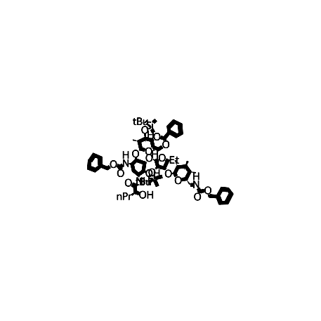 CCC[C@H](O)C(=O)N[C@@H]1C[C@H](NC(=O)OCc2ccccc2)[C@@H](O[C@H]2O[C@@H]3COC(c4ccccc4)O[C@H]3[C@H](O[Si](C)(C)C(C)(C)C)[C@H]2C)[C@H](O[C@@H]2O[C@H](CC)[C@@H](O[C@H]3O[C@@H](CNC(=O)OCc4ccccc4)[C@@H](C)[C@H](C)[C@H]3C)[C@H]2O[Si](C)(C)C(C)(C)C)[C@H]1O